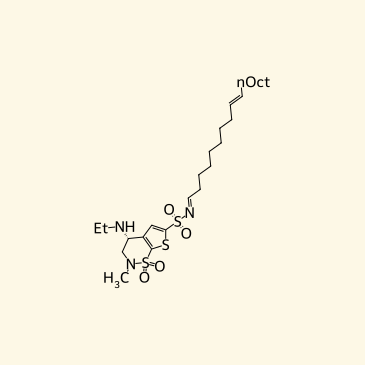 CCCCCCCC/C=C/CCCCCCC/C=N/S(=O)(=O)c1cc2c(s1)S(=O)(=O)N(C)C[C@@H]2NCC